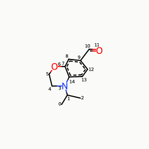 CC(C)N1CCOc2cc(C=O)ccc21